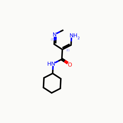 C/N=C\C(=C/N)C(=O)NC1CCCCC1